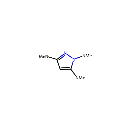 CNc1cc(NC)n(NC)n1